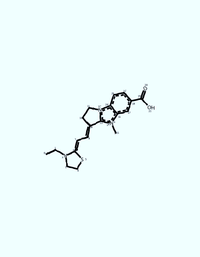 CCN1CCSC1=CC=C1CCn2c1[n+](C)c1cc(C(=O)O)ccc12